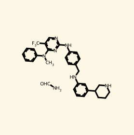 CN(c1ccccc1)c1nc(Nc2ccc(CNc3cccc(C4CCCNC4)c3)cc2)ncc1C(F)(F)F.NC=O